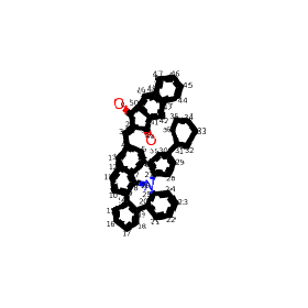 O=C1C(=Cc2ccc3c4c(ccc3c2)-c2ccccc2-c2ccccc2N4c2ccc(C3CCCCC3)cc2)C(=O)c2cc3ccccc3cc21